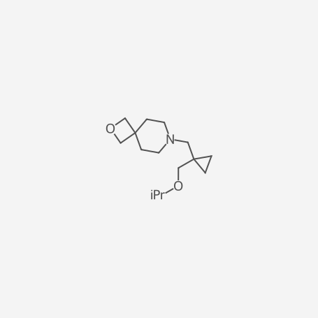 CC(C)OCC1(CN2CCC3(CC2)COC3)CC1